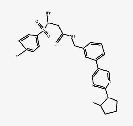 CC1CCCN1c1ncc(-c2cccc(CNC(=O)CN(C(C)C)S(=O)(=O)c3ccc(F)cc3)c2)cn1